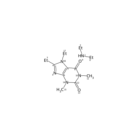 CCNCC.CCc1nc2c(c(=O)n(C)c(=O)n2C)n1CC